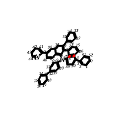 c1ccc(-c2ccc(N(c3ccc(-c4ccccc4)cc3)c3c(-c4ccccc4)c(-c4ccccc4)cc4cc(-c5ccccn5)ccc34)cc2)cc1